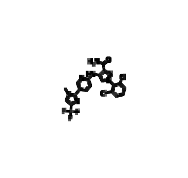 Cn1cc(C(F)(F)F)nc1-c1ccc(Nc2cn(-c3c(Cl)cccc3Cl)nc2C(N)=O)nc1